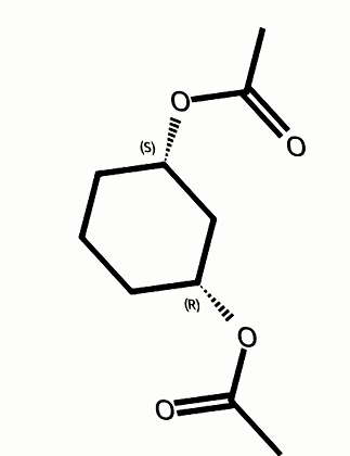 CC(=O)O[C@@H]1CCC[C@H](OC(C)=O)C1